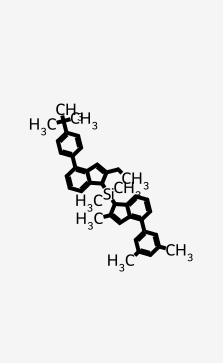 CCC1=Cc2c(-c3ccc(C(C)(C)C)cc3)cccc2C1[Si](C)(C)C1C(C)=Cc2c(-c3cc(C)cc(C)c3)cccc21